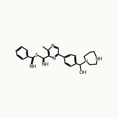 Cc1ncc(-c2ccc(C(O)N3CCCNCC3)cc2)nc1C(=N)SC(=N)c1ccccc1